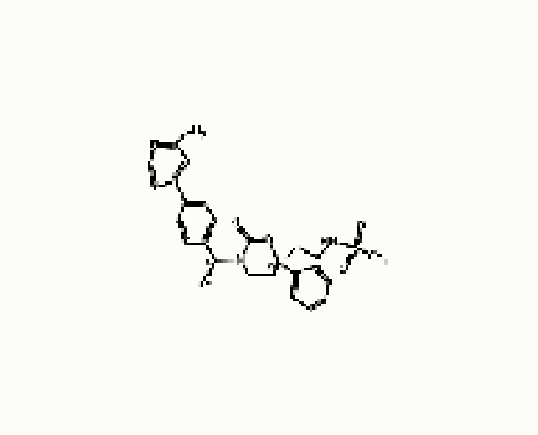 Cc1cc(-c2ccc([C@H](C)N3CC[C@](CCNS(C)(=O)=O)(c4ccccc4)OC3=O)cc2)ccn1